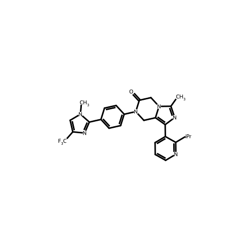 Cc1nc(-c2cccnc2C(C)C)c2n1CC(=O)N(c1ccc(-c3nc(C(F)(F)F)cn3C)cc1)C2